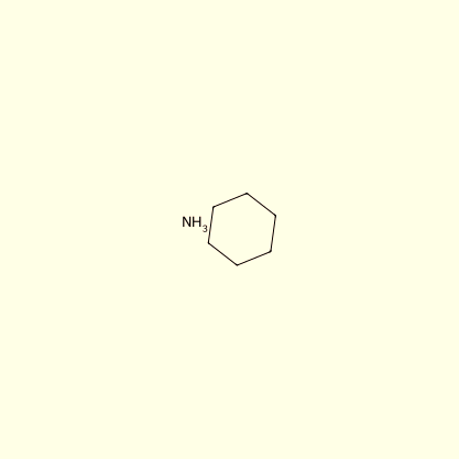 C1CCCCC1.N